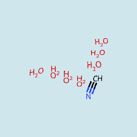 C#N.O.O.O.O.O.O.O